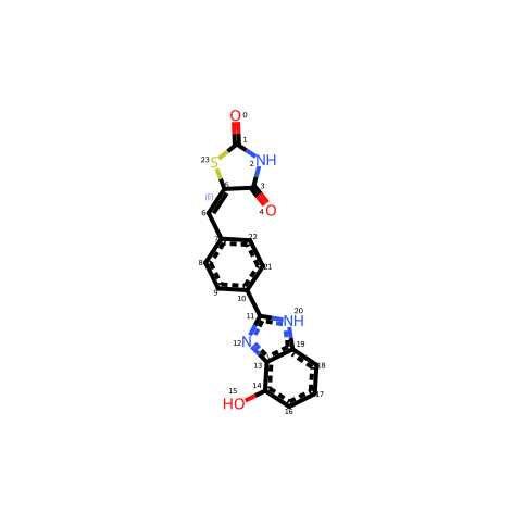 O=C1NC(=O)/C(=C\c2ccc(-c3nc4c(O)cccc4[nH]3)cc2)S1